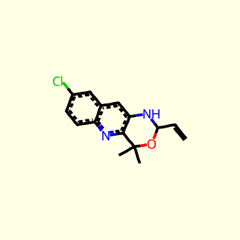 C=CC1Nc2cc3cc(Cl)ccc3nc2C(C)(C)O1